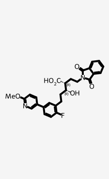 COc1ccc(-c2ccc(F)c(CC[C@@H](O)[C@@H](CCN3C(=O)c4ccccc4C3=O)C(=O)O)c2)cn1